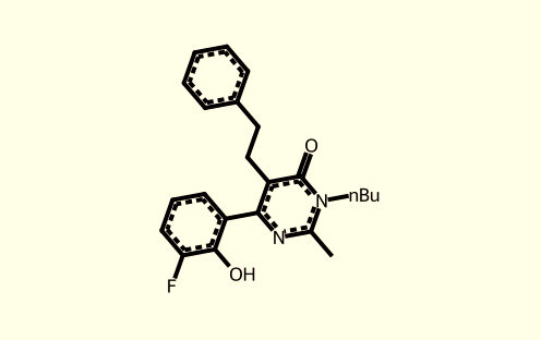 CCCCn1c(C)nc(-c2cccc(F)c2O)c(CCc2ccccc2)c1=O